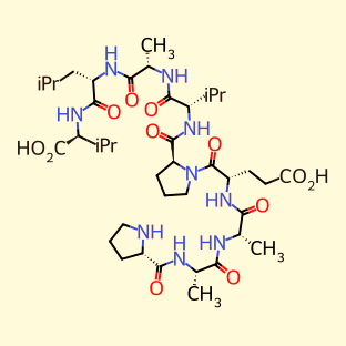 CC(C)C[C@H](NC(=O)[C@H](C)NC(=O)[C@@H](NC(=O)[C@@H]1CCCN1C(=O)[C@H](CCC(=O)O)NC(=O)[C@H](C)NC(=O)[C@H](C)NC(=O)[C@@H]1CCCN1)C(C)C)C(=O)N[C@H](C(=O)O)C(C)C